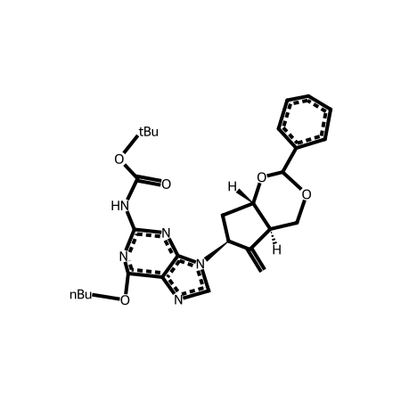 C=C1[C@@H]2COC(c3ccccc3)O[C@H]2C[C@@H]1n1cnc2c(OCCCC)nc(NC(=O)OC(C)(C)C)nc21